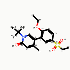 [2H]C([2H])([2H])n1cc(-c2cc(S(=O)(=O)CC)ccc2OCC)c(C)cc1=O